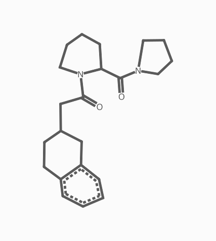 O=C(C1CCCCN1C(=O)CC1CCc2ccccc2C1)N1CCCC1